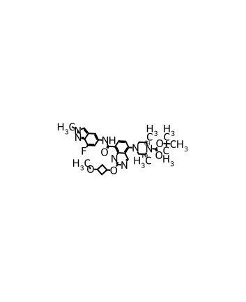 COC1CC(Oc2ncc3c(N4C[C@@H](C)N(C(=O)OC(C)(C)C)[C@@H](C)C4)ccc(C(=O)Nc4cc(F)c5nn(C)cc5c4)c3n2)C1